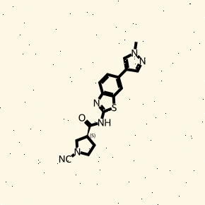 Cn1cc(-c2ccc3nc(NC(=O)[C@H]4CCN(C#N)C4)sc3c2)cn1